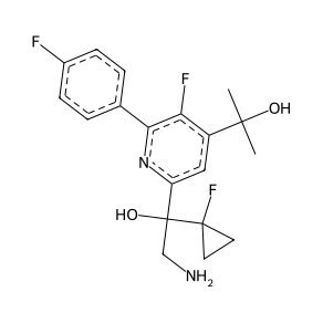 CC(C)(O)c1cc(C(O)(CN)C2(F)CC2)nc(-c2ccc(F)cc2)c1F